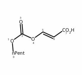 [CH2]CCCCOC(=O)OC=CC(=O)O